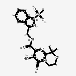 CC1(C)OCCn2c1nc(C(=O)NCc1nn(S(C)(=O)=O)c3ccccc13)c(O)c2=O